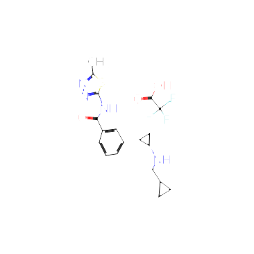 Cc1nnc(NC(=O)c2cccc([C@@H]3C[C@H]3NCC3CC3)c2)s1.O=C(O)C(F)(F)F